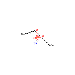 CCCCCCCCCCCCCCCCCC(=O)OCC(COC(=O)CCCCCCCCCCCCCCCCC)OP(=O)(O)OCCN